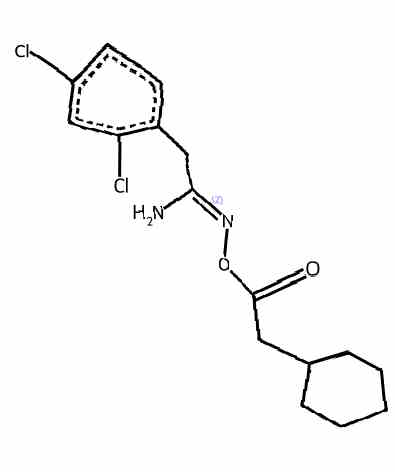 N/C(Cc1ccc(Cl)cc1Cl)=N\OC(=O)CC1CCCCC1